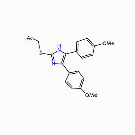 COc1ccc(-c2nc(SCC(C)=O)[nH]c2-c2ccc(OC)cc2)cc1